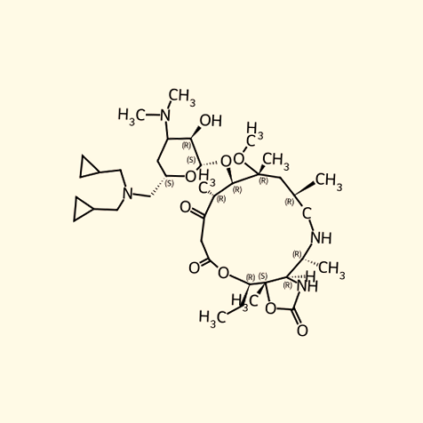 CC[C@H]1OC(=O)CC(=O)[C@H](C)[C@@H](O[C@@H]2O[C@H](CN(CC3CC3)CC3CC3)CC(N(C)C)[C@H]2O)[C@](C)(OC)C[C@@H](C)CN[C@H](C)[C@H]2NC(=O)O[C@@]21C